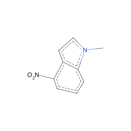 Cn1ccc2c([N+](=O)[O-])cccc21